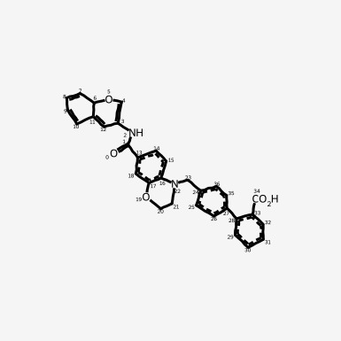 O=C(NC1=COC2C=CC=CC2=C1)c1ccc2c(c1)OCCN2Cc1ccc(-c2ccccc2C(=O)O)cc1